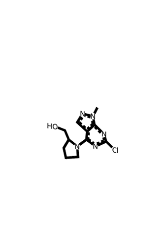 Cn1ncc2c(N3CCCC3CO)nc(Cl)nc21